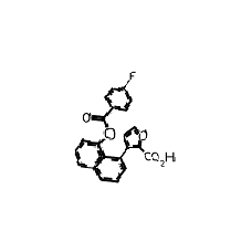 O=C(Oc1cccc2cccc(-c3ccoc3C(=O)O)c12)c1ccc(F)cc1